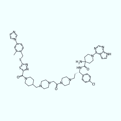 Cc1cc(-n2ccnc2)ccc1CSc1nnc(C(=O)N2CCC(CN3CCN(CC(=O)N4CCN(CC[C@H](NC(=O)C5(N)CCN(c6ncnc7[nH]ccc67)CC5)c5ccc(Cl)cc5)CC4)CC3)CC2)s1